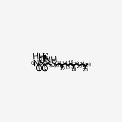 CNC(=O)NC(=O)C(CSC/C=C(\C)CC/C=C(\C)CCC=C(C)C)NC(C)=O